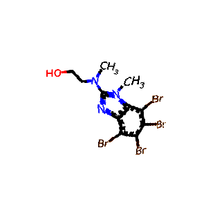 CN(CCO)c1nc2c(Br)c(Br)c(Br)c(Br)c2n1C